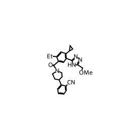 CCc1cc(C2CC2)c(-c2nnc(COC)[nH]2)cc1C(=O)N1CCC(c2ccccc2C#N)CC1